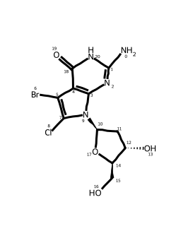 Nc1nc2c(c(Br)c(Cl)n2[C@H]2C[C@H](O)[C@@H](CO)O2)c(=O)[nH]1